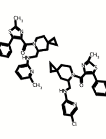 Cc1cccc(NCC2CC3(CCN2C(=O)c2nc(C)sc2-c2ccccc2)CC3)n1.Cc1nc(C(=O)N2CCC3(CC3)CC2CNc2ccc(Cl)cn2)c(-c2ccccc2)s1